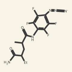 CCC(CC(C)C(=O)Nc1c(F)c(F)c(N=[N+]=[N-])c(F)c1F)C(N)=O